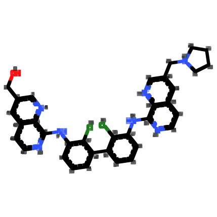 OCc1cnc2c(Nc3cccc(-c4cccc(Nc5nccc6cc(CN7CCCC7)cnc56)c4Cl)c3Cl)nccc2c1